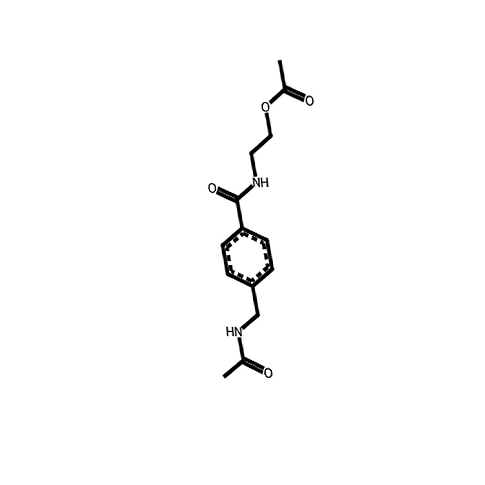 CC(=O)NCc1ccc(C(=O)NCCOC(C)=O)cc1